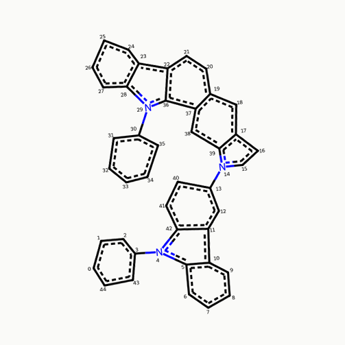 c1ccc(-n2c3ccccc3c3cc(-n4ccc5cc6ccc7c8ccccc8n(-c8ccccc8)c7c6cc54)ccc32)cc1